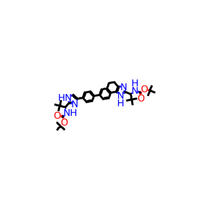 CC(C)(C)OC(=O)N[C@H](c1nc(-c2ccc(-c3ccc4c(c3)CCc3nc([C@@H](NC(=O)OC(C)(C)C)C(C)(C)C)[nH]c3-4)cc2)c[nH]1)C(C)(C)C